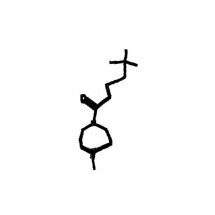 CN1CCN(C(=O)CCCC(C)(C)C)CC1